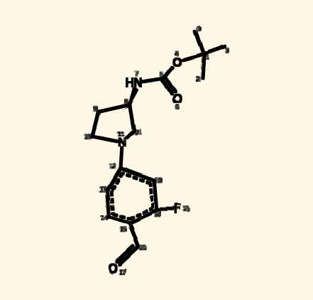 CC(C)(C)OC(=O)N[C@@H]1CCN(c2ccc(C=O)c(F)c2)C1